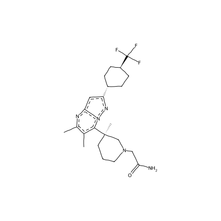 Cc1nc2cc([C@H]3CC[C@H](C(F)(F)F)CC3)nn2c([C@]2(C)CCCN(CC(N)=O)C2)c1C